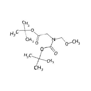 COCN(CC(=O)OC(C)(C)C)C(=O)OC(C)(C)C